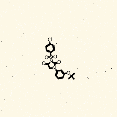 CC(C)(C)Oc1cccc(N2CC(=O)N(S(=O)(=O)c3ccc(Cl)cc3)C2=O)c1